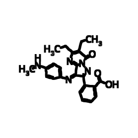 CCc1nc2n(c(=O)c1CC)N=C(c1ccccc1C(=O)O)C2=Nc1ccc(NC)cc1